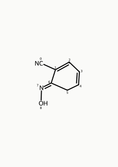 N#CC1=[C]C=CCC1=NO